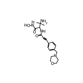 CC(C)(N)C(NC(=O)C#Cc1ccc(CN2CCOCC2)cc1)C(=O)NO